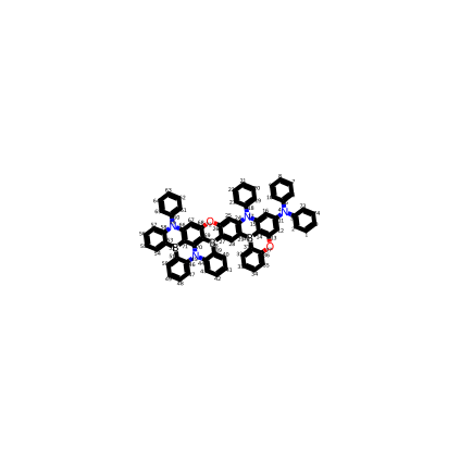 c1ccc(N(c2ccccc2)c2cc3c4c(c2)N(c2ccccc2)c2cc5c(cc2B4c2ccccc2O3)B2c3ccccc3N3c4ccccc4B4c6ccccc6N(c6ccccc6)c6cc(c2c3c64)O5)cc1